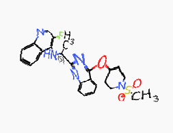 C[C@H](Nc1c(F)cnc2ccccc12)c1nc(OC2CCN(S(C)(=O)=O)CC2)c2ccccc2n1